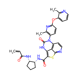 C=CC(=O)N[C@H]1CCC[C@H]1NC(=O)c1sc2nccc3c2c1NC(=O)N3c1ccc(Oc2cccnc2C)nc1C